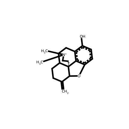 C=C1CCC2C3Cc4c(O)ccc5c4[C@@]2(CC[N+]3(C)C)C1O5